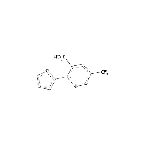 O=C(O)c1cc(C(F)(F)F)cnc1-c1ccco1